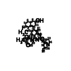 CCc1c(F)ccc2cc(O)cc(-c3ccc4c(N5CCOCC(C)(O)C5)nc(OC[C@@]56CCCN5C[C@H](F)C6)nc4c3F)c12